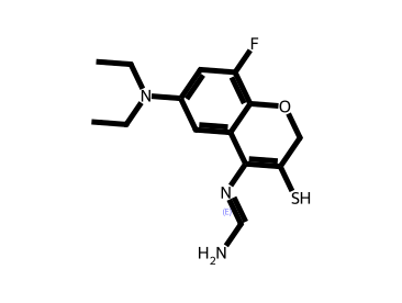 CCN(CC)c1cc(F)c2c(c1)C(/N=C/N)=C(S)CO2